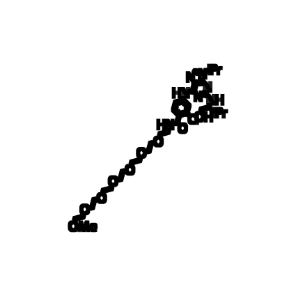 COCCOCCOCCOCCOCCOCCOCCNC(=O)c1ccc(Nc2nc(N[C@H](CO)C(C)C)nc3c2ncn3C(C)C)cc1Cl